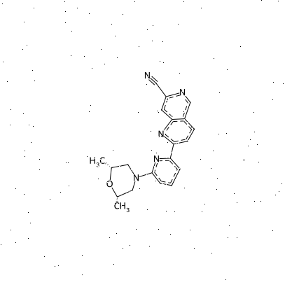 C[C@@H]1CN(c2cccc(-c3ccc4cnc(C#N)cc4n3)n2)C[C@H](C)O1